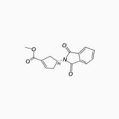 COC(=O)C1=CC[C@@H](N2C(=O)c3ccccc3C2=O)C1